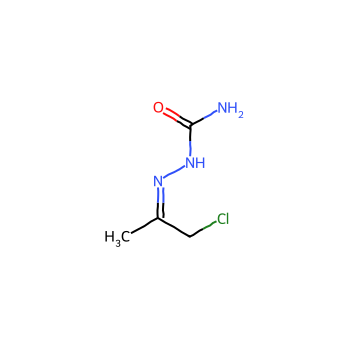 CC(CCl)=NNC(N)=O